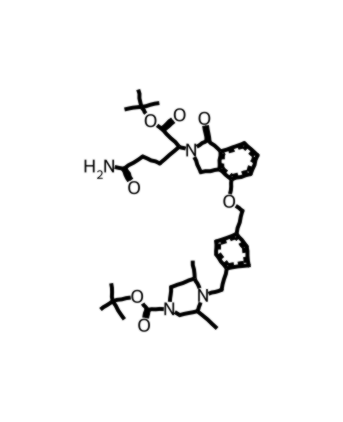 CC1CN(C(=O)OC(C)(C)C)CC(C)N1Cc1ccc(COc2cccc3c2CN(C(CCC(N)=O)C(=O)OC(C)(C)C)C3=O)cc1